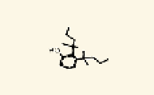 CCCC(C)(C)c1cccc(O)c1C(C)(C)CCC